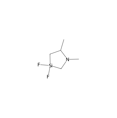 CC1C[Si](F)(F)CN1C